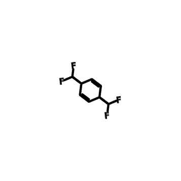 FC(F)C1C=CC(C(F)F)C=C1